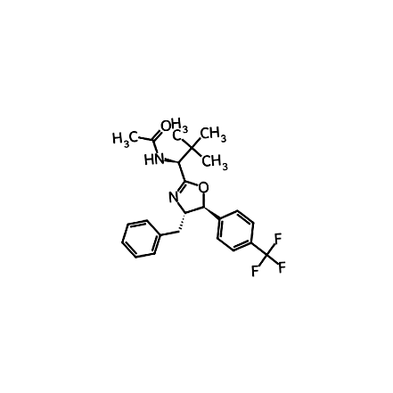 CC(=O)N[C@H](C1=N[C@@H](Cc2ccccc2)[C@H](c2ccc(C(F)(F)F)cc2)O1)C(C)(C)C